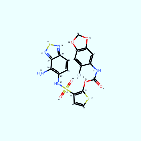 Cc1cc2c(cc1NC(=O)Oc1sccc1S(=O)(=O)Nc1ccc3nsnc3c1N)OCO2